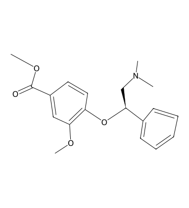 COC(=O)c1ccc(O[C@@H](CN(C)C)c2ccccc2)c(OC)c1